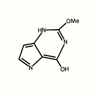 COc1nc(O)c2nccc-2[nH]1